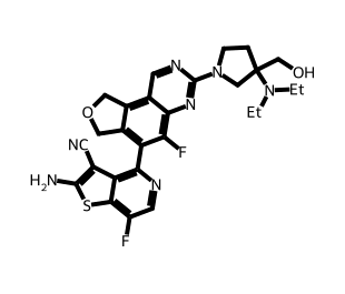 CCN(CC)C1(CO)CCN(c2ncc3c4c(c(-c5ncc(F)c6sc(N)c(C#N)c56)c(F)c3n2)COC4)C1